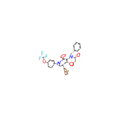 O=C1COc2c(Br)cn(-c3ccc(OC(F)(F)F)cc3)c(=O)c2N1Cc1ccccc1